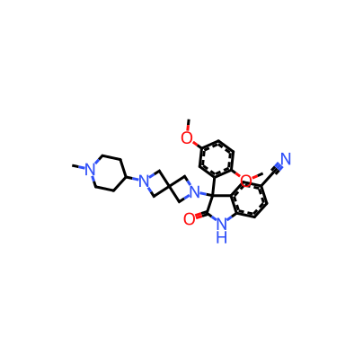 COc1ccc(OC)c(C2(N3CC4(CN(C5CCN(C)CC5)C4)C3)C(=O)Nc3ccc(C#N)cc32)c1